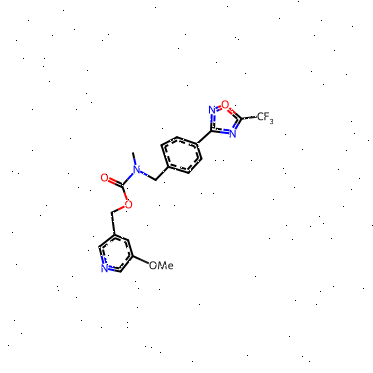 COc1cncc(COC(=O)N(C)Cc2ccc(-c3noc(C(F)(F)F)n3)cc2)c1